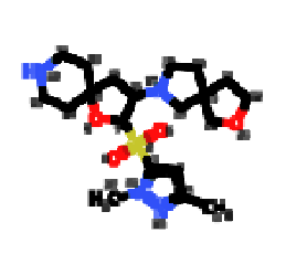 Cc1cc(S(=O)(=O)C2OC3(CCNCC3)CC2N2CCC3(CCOC3)C2)n(C)n1